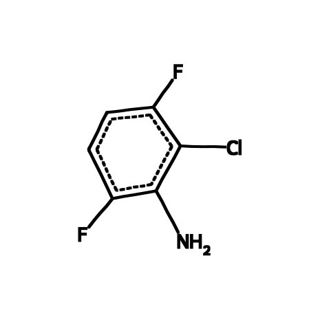 Nc1c(F)ccc(F)c1Cl